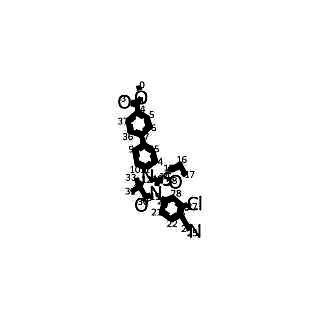 COC(=O)c1ccc(-c2ccc(N3C(=S4C=CCO4)N(c4ccc(C#N)c(Cl)c4)C(=O)C3(C)C)cc2)cc1